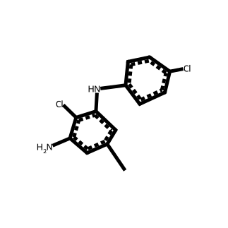 Cc1cc(N)c(Cl)c(Nc2ccc(Cl)cc2)c1